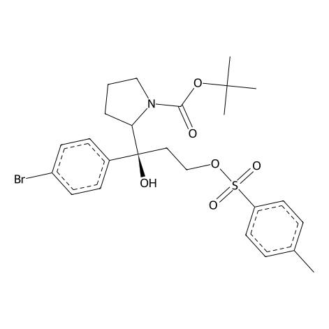 Cc1ccc(S(=O)(=O)OCC[C@](O)(c2ccc(Br)cc2)C2CCCN2C(=O)OC(C)(C)C)cc1